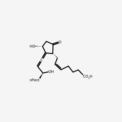 CCCCC[C@H](O)C=C=C1[C@@H](C/C=C\CCCC(=O)O)C(=O)C[C@H]1O